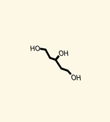 OCCC(O)CCO